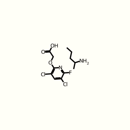 CCCC(C)N.O=C(O)COc1nc(F)c(Cl)cc1Cl